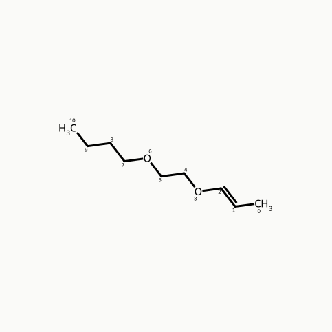 CC=COCCOCCCC